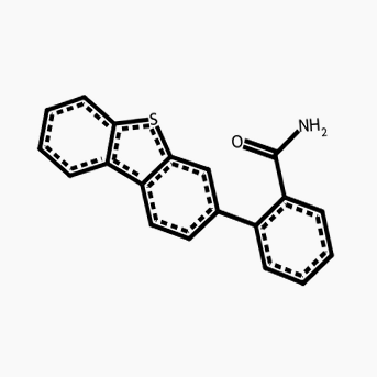 NC(=O)c1ccccc1-c1ccc2c(c1)sc1ccccc12